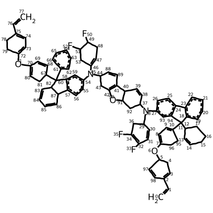 C=CC1=CCC(OC2=CC=C(C3(C4C=CCCC4)c4ccccc4-c4ccc(N(C5C=CC(F)=C(F)C5)C5C=CC6C7=C(CC(N(C8=CCC(F)C(F)C8)c8ccc9c(c8)C(c8ccccc8)(C8C=CC(OC%10=CC=C(C=C)CC%10)=CC8)C8C=CC=CC98)C=C7)OC6C5)cc43)CC2)C=C1